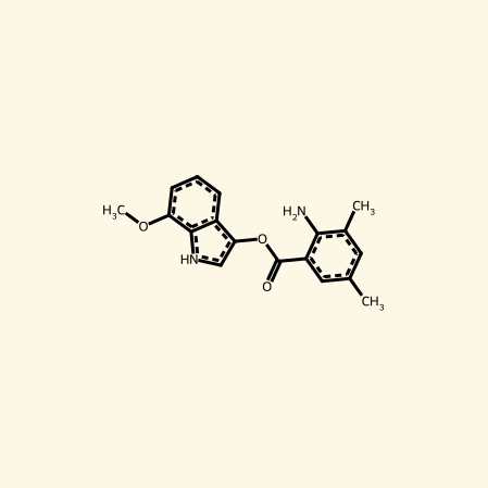 COc1cccc2c(OC(=O)c3cc(C)cc(C)c3N)c[nH]c12